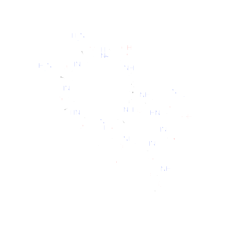 CC(C)C[C@@H]1NC(=O)[C@@H](Cc2ccccc2)NC(=O)[C@H](CCN)NC[C@@H](NC(=O)[C@H](CCN)NC(=O)[C@@H](NC(=O)[C@H](CCNC(=O)OC(C)(C)C)NC(=O)CCC(=O)OC2CCCCC2)C(C)O)CCNC(=O)[C@H]([C@H](C)O)NC(=O)[C@H](CCN)NC(=O)[C@H](CCN)NC1=O